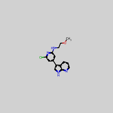 COCCNc1cc(-c2c[nH]c3ncccc23)cc(Cl)n1